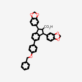 O=C(O)C1C(c2ccc3c(c2)OCO3)c2ccc(-c3ccc(OCc4ccccc4)cc3)cc2C1c1ccc2c(c1)OCO2